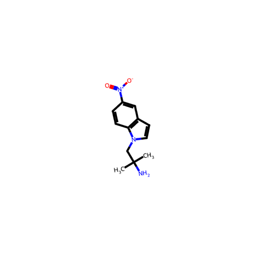 CC(C)(N)Cn1ccc2cc([N+](=O)[O-])ccc21